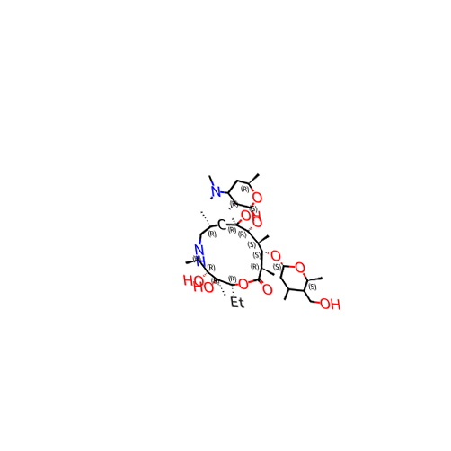 CC[C@H]1OC(=O)[C@H](C)[C@@H](O[C@H]2CC(C)C(CO)[C@H](C)O2)[C@H](C)[C@@H](O[C@@H]2O[C@H](C)CC(N(C)C)[C@H]2C)[C@](C)(O)C[C@@H](C)CN[C@H](C)[C@@H](O)[C@]1(C)O